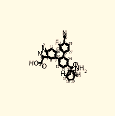 Cn1nc(C(=O)O)c2cc(-c3ccc(C(=O)N4[C@@H]5CC[C@H]4[C@@H](N)C5)cc3-c3ccc(C#N)c(F)c3)c(F)cc21